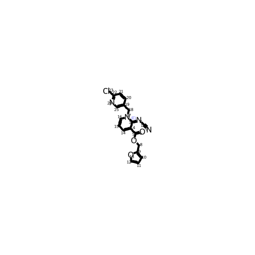 N#C/N=c1\c(C(=O)OCc2ccco2)cccn1Cc1ccc(Cl)nc1